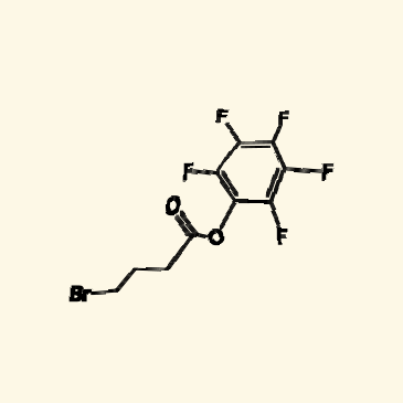 O=C(CCCBr)Oc1c(F)c(F)c(F)c(F)c1F